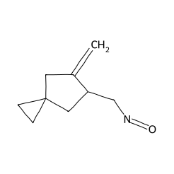 C=C1CC2(CC2)CC1CN=O